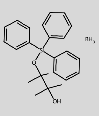 B.CC(C)(O)C(C)(C)O[Si](c1ccccc1)(c1ccccc1)c1ccccc1